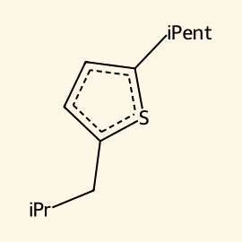 CCCC(C)c1ccc(CC(C)C)s1